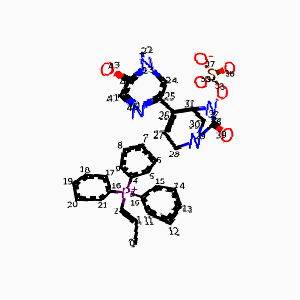 CC=C[P+](c1ccccc1)(c1ccccc1)c1ccccc1.Cn1cc(C2=CCN3CC2N(OS(=O)(=O)[O-])C3=O)ncc1=O